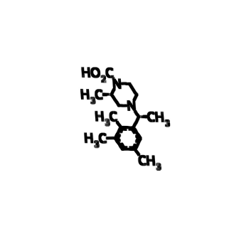 Cc1cc(C)c(C)c([C@H](C)N2CCN(C(=O)O)[C@H](C)C2)c1